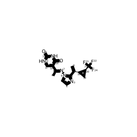 C=C(c1nccn1/N=C(\C)c1c[nH]c(=O)[nH]c1=O)[C@H]1C[C@@H]1C(F)(F)F